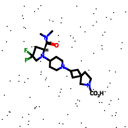 CN(C)C(=O)[C@@H]1CC(F)(F)CN1C1CCN(C2CC3(CCN(C(=O)O)C3)C2)CC1